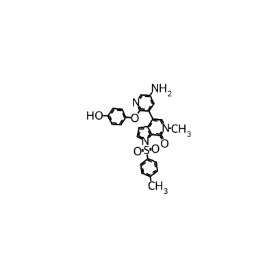 Cc1ccc(S(=O)(=O)n2ccc3c(-c4cc(N)cnc4Oc4ccc(O)cc4)cn(C)c(=O)c32)cc1